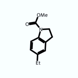 CCc1ccc2c(c1)CCN2C(=O)OC